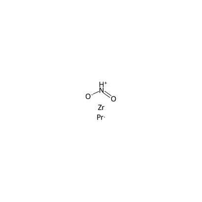 O=[NH+][O-].[Pr].[Zr]